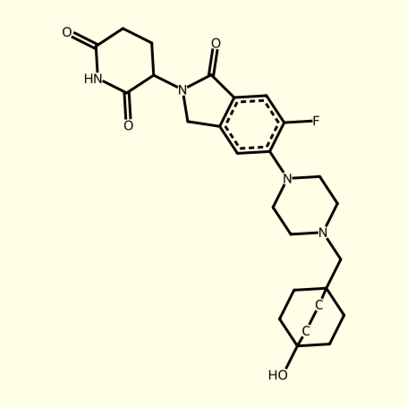 O=C1CCC(N2Cc3cc(N4CCN(CC56CCC(O)(CC5)CC6)CC4)c(F)cc3C2=O)C(=O)N1